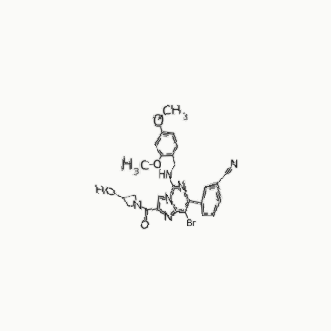 COc1ccc(CNc2nc(-c3cccc(C#N)c3)c(Br)c3nc(C(=O)N4CC(O)C4)cn23)c(OC)c1